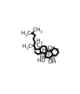 CC(C)CCC[C@@H](C)[C@H]1CC[C@H]2[C@@H]3[C@H](O)[C@H](O)[C@H]4CCCC[C@]4(C)[C@H]3CC[C@]12C